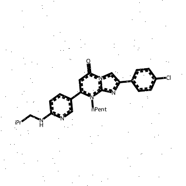 CCCCCn1c(-c2ccc(NCC(C)C)nc2)cc(=O)n2cc(-c3ccc(Cl)cc3)nc12